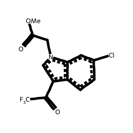 COC(=O)Cn1cc(C(=O)C(F)(F)F)c2ccc(Cl)cc21